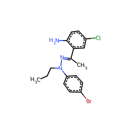 CCCN(/N=C(\C)c1cc(Cl)ccc1N)c1ccc(Br)cc1